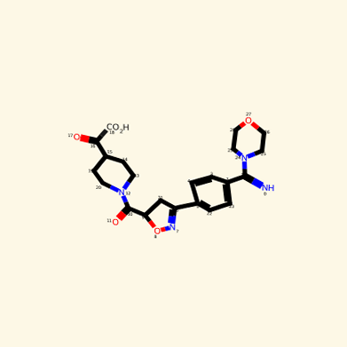 N=C(c1ccc(C2=NOC(C(=O)N3CCC(C(=O)C(=O)O)CC3)C2)cc1)N1CCOCC1